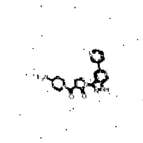 NC1CCN(C(=O)C2CCN(c3n[nH]c4cnc(-c5cccnc5)cc34)C2=O)CC1